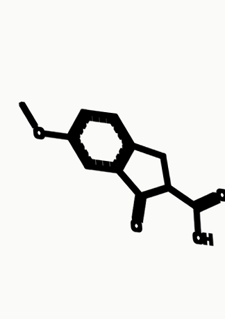 COc1ccc2c(c1)C(=O)C(C(=O)O)C2